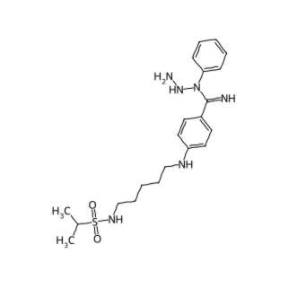 CC(C)S(=O)(=O)NCCCCCNc1ccc(C(=N)N(NN)c2ccccc2)cc1